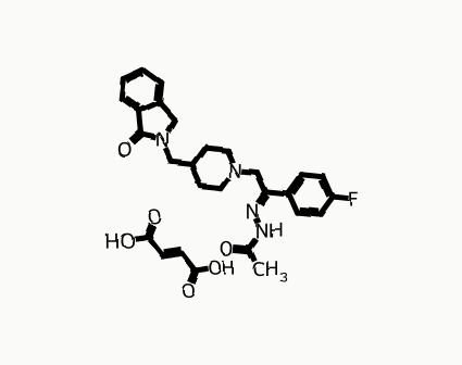 CC(=O)NN=C(CN1CCC(CN2Cc3ccccc3C2=O)CC1)c1ccc(F)cc1.O=C(O)C=CC(=O)O